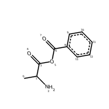 CC(N)C(=O)OC(=O)c1ccccc1